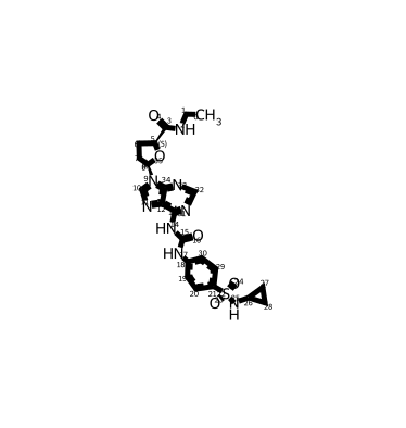 CCNC(=O)[C@@H]1CC[C@H](n2cnc3c(NC(=O)Nc4ccc(S(=O)(=O)NC5CC5)cc4)ncnc32)O1